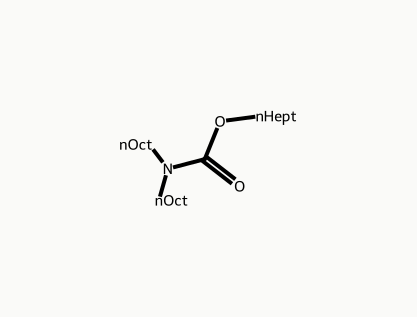 CCCCCCCCN(CCCCCCCC)C(=O)OCCCCCCC